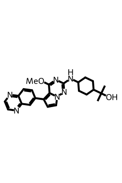 COc1nc(NC2CCC(C(C)(C)O)CC2)nn2ccc(-c3ccc4nccnc4c3)c12